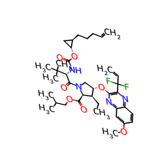 C=CCCC[C@@H]1C[C@H]1OC(=O)N[C@H](C(=O)N1C[C@H](Oc2nc3cc(OC)ccc3nc2C(F)(F)C=C)[C@@H](CC)[C@H]1C(=O)OCC(C)C)C(C)(C)C